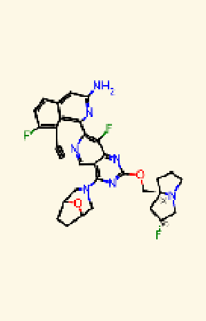 C#Cc1c(F)ccc2cc(N)nc(-c3ncc4c(N5CC6CCC(C5)O6)nc(OC[C@@]56CCCN5C[C@H](F)C6)nc4c3F)c12